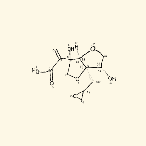 C=C(C(=O)O)[C@]1(O)CO[C@]2(CC3CO3)[C@@H](O)CO[C@@H]21